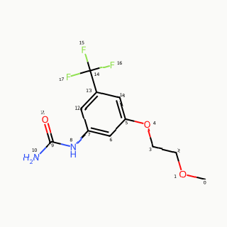 COCCOc1cc(NC(N)=O)cc(C(F)(F)F)c1